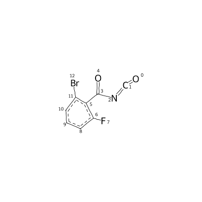 O=C=NC(=O)c1c(F)cccc1Br